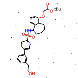 CC(C)(C)OC(=O)COc1cccc2c1CCCCC2NS(=O)(=O)c1ccc(-c2cccc(CCO)c2)cn1